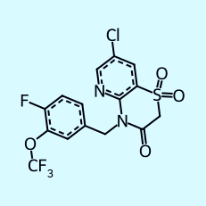 O=C1CS(=O)(=O)c2cc(Cl)cnc2N1Cc1ccc(F)c(OC(F)(F)F)c1